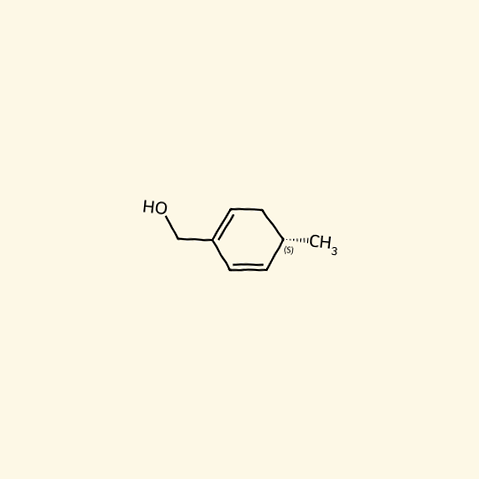 C[C@@H]1C=CC(CO)=CC1